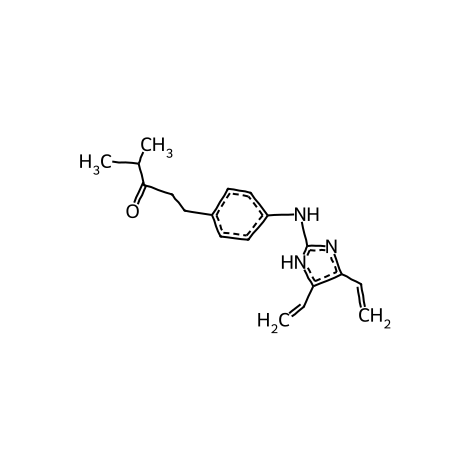 C=Cc1nc(Nc2ccc(CCC(=O)C(C)C)cc2)[nH]c1C=C